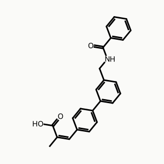 CC(=Cc1ccc(-c2cccc(CNC(=O)c3ccccc3)c2)cc1)C(=O)O